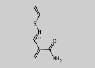 C=CS/N=C/C(=C)C(N)=O